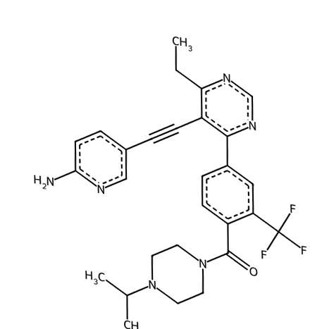 CCc1ncnc(-c2ccc(C(=O)N3CCN(C(C)C)CC3)c(C(F)(F)F)c2)c1C#Cc1ccc(N)nc1